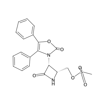 CS(=O)(=O)OC[C@@H]1NC(=O)[C@@H]1n1c(-c2ccccc2)c(-c2ccccc2)oc1=O